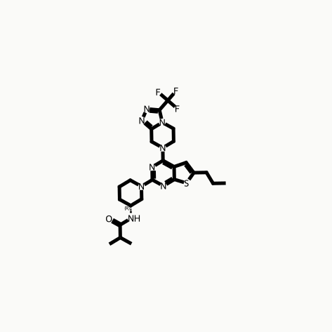 CCCc1cc2c(N3CCn4c(nnc4C(F)(F)F)C3)nc(N3CCC[C@@H](NC(=O)C(C)C)C3)nc2s1